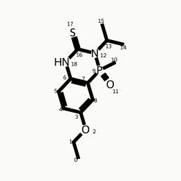 CCOc1ccc2c(c1)P(C)(=O)N(C(C)C)C(=S)N2